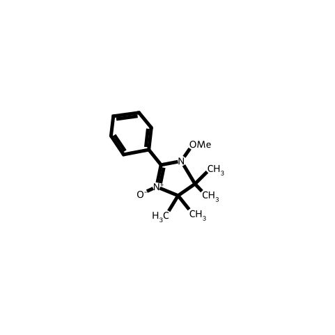 CON1C(c2ccccc2)=[N+]([O-])C(C)(C)C1(C)C